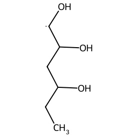 CCC(O)CC(O)[CH]O